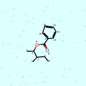 CCC(C)C(C)OC(=O)c1ccccc1